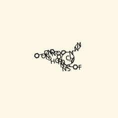 Cc1c2ccc(c1Cl)CN(CCN1CCN(C)CC1)Cc1ccc(OCc3ccnc([C@@H]4CCCN4C(=O)OCc4ccccc4)n3)c(c1)C[C@H](C(=O)O)Oc1ncnc3sc(-c4ccc(F)cc4)c-2c13